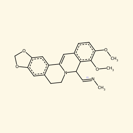 C/N=C/C1c2c(ccc(OC)c2OC)C=C2c3cc4c(cc3CCN21)OCO4